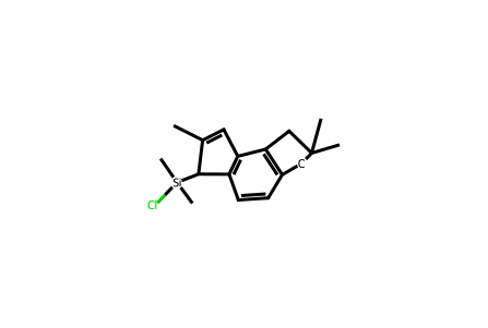 CC1=Cc2c(ccc3c2CC(C)(C)C3)C1[Si](C)(C)Cl